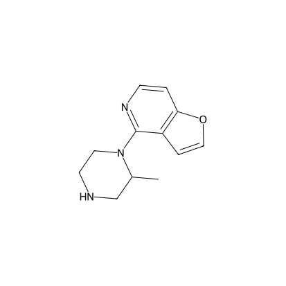 CC1CNCCN1c1nccc2occc12